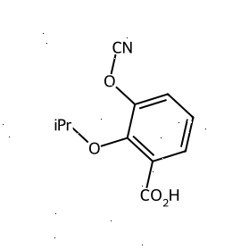 CC(C)Oc1c(OC#N)cccc1C(=O)O